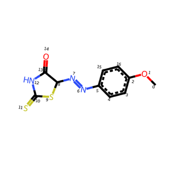 COc1ccc(N=NC2SC(=S)NC2=O)cc1